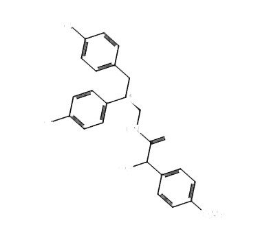 COc1ccc(C(O)C(=O)NC[C@H](Cc2ccc(Cl)cc2)c2ccc(Cl)cc2)cc1